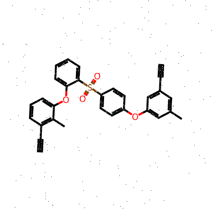 C#Cc1cc(C)cc(Oc2ccc(S(=O)(=O)c3ccccc3Oc3cccc(C#C)c3C)cc2)c1